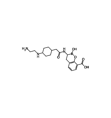 NCCNC1CCC(CC(=O)NC2Cc3cccc(C(=O)O)c3OB2O)CC1